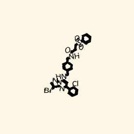 O=C(CCS(=O)(=O)C1C=CC=CC1)NCC1C=CC(CNC2=CC(C3C=CC=CC3Cl)=NC3C(Br)C=NN23)=CC1